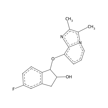 Cc1nc2c(OC3c4ccc(F)cc4CC3O)cccn2c1C